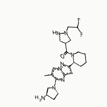 Cc1cn2nc([C@@H]3CCCCN3C(=O)C3CNN(CC(F)F)C3)cc2nc1N1CC[C@H](N)C1